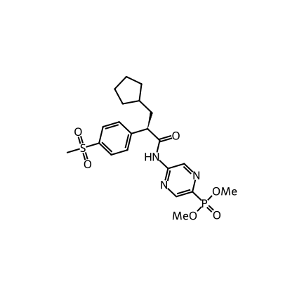 COP(=O)(OC)c1cnc(NC(=O)[C@H](CC2CCCC2)c2ccc(S(C)(=O)=O)cc2)cn1